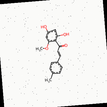 COc1cc(O)cc(O)c1C(=O)C=Cc1ccc(C)cc1